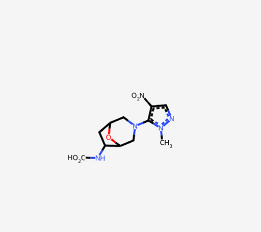 Cn1ncc([N+](=O)[O-])c1N1CC2CC(NC(=O)O)C(C1)O2